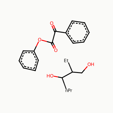 CCCC(O)C(CC)CO.O=C(Oc1ccccc1)C(=O)c1ccccc1